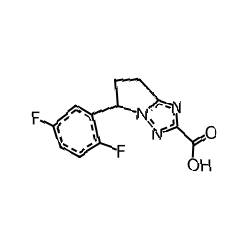 O=C(O)c1nc2n(n1)C(c1cc(F)ccc1F)CC2